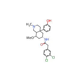 COC1C[C@@H](NC(=O)Cc2ccc(Cl)c(Cl)c2)CC2(c3cccc(O)c3)CCN(C)CC12